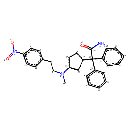 CN(CCc1ccc([N+](=O)[O-])cc1)C1CCC(C(C(N)=O)(c2ccccc2)c2ccccc2)C1